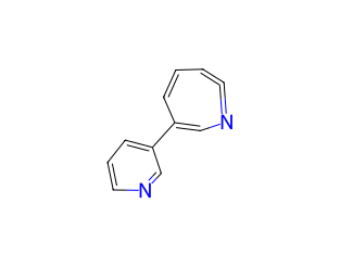 C1=CC=CC(c2cccnc2)=CN=1